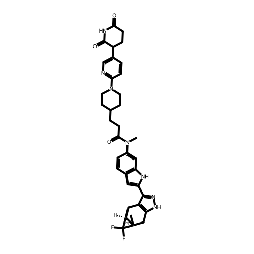 CN(C(=O)CCC1CCN(c2ccc(C3CCC(=O)NC3=O)cn2)CC1)c1ccc2cc(-c3n[nH]c4c3C[C@@H]3C(F)(F)C3(C)C4)[nH]c2c1